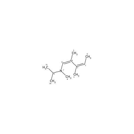 C/C=C(C)\C(C)=C/N(C)C(C)C